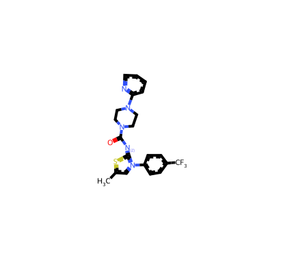 Cc1cn(-c2ccc(C(F)(F)F)cc2)/c(=N/C(=O)N2CCN(c3ccccn3)CC2)s1